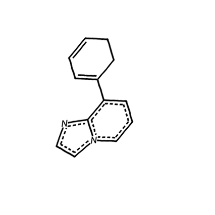 C1=CCCC(c2cccn3ccnc23)=C1